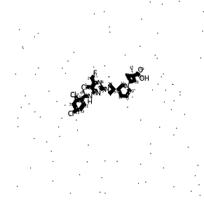 C[C@@H](Nc1nc(N2CC([C@H]3CCCN([C@H]4C[C@](C)(C(=O)O)C4)C3)C2)nc(CF)c1Cl)c1ccc(Cl)cc1Cl